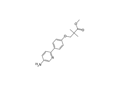 COC(=O)C(C)(C)COc1ccc(-c2ccc(N)cn2)cc1